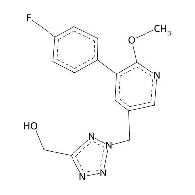 COc1ncc(Cn2nnc(CO)n2)cc1-c1ccc(F)cc1